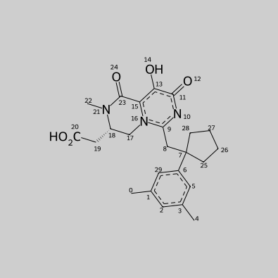 Cc1cc(C)cc(C2(Cc3nc(=O)c(O)c4n3C[C@H](CC(=O)O)N(C)C4=O)CCCC2)c1